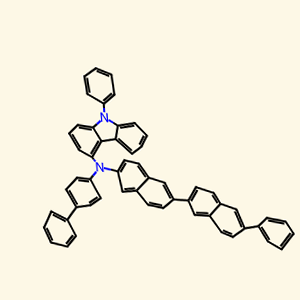 c1ccc(-c2ccc(N(c3ccc4cc(-c5ccc6cc(-c7ccccc7)ccc6c5)ccc4c3)c3cccc4c3c3ccccc3n4-c3ccccc3)cc2)cc1